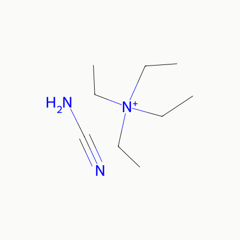 CC[N+](CC)(CC)CC.N#CN